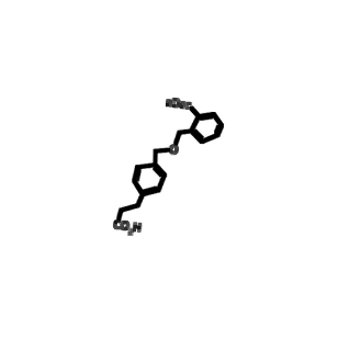 CCCCCCCCCCc1ccccc1COCc1ccc(CCC(=O)O)cc1